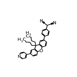 CCCCC1(CCCC)c2cc(-c3ccncc3)ccc2Oc2ccc(-c3ccc(C(C#N)C#N)cc3)cc21